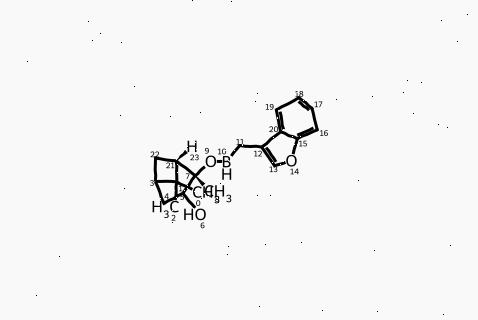 CC1(C)C2CC(O)[C@@](C)(OBCc3coc4ccccc34)[C@H]1C2